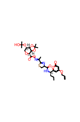 C=CCOc1cc([C@@H](CCC)NC(=O)C2CSC(/C(C)=N/OC(=O)[C@H]3OC[C@H](OC(C)(C)O)[C@H]4OC(C)(C)O[C@H]43)=N2)oc(=O)c1